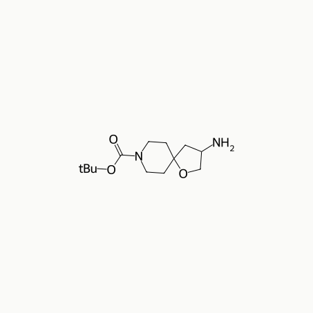 CC(C)(C)OC(=O)N1CCC2(CC1)CC(N)CO2